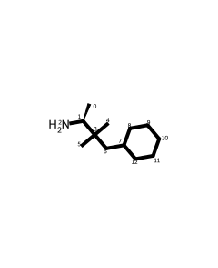 C[C@H](N)C(C)(C)CC1CCCCC1